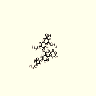 Cc1cc(-c2cnc(N3CCOCC3)c(C(=O)Nc3cc4c(C)cc(O)nc4cc3C)c2)on1